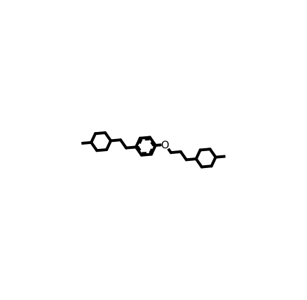 CC1CCC(CCCOc2ccc(CCC3CCC(C)CC3)cc2)CC1